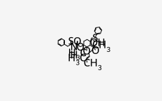 COC1C(OC(=O)NC(=S)Cc2ccccc2)CCC(O)(CSc2ccccc2)C1C1(C)OC1CC=C(C)C